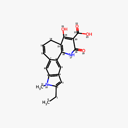 CCc1cc2cc3c(cc2n1C)C=CCc1c-3[nH]c(=O)c(C(=O)O)c1O